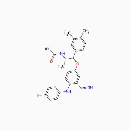 Cc1ccc([C@@H](Oc2ccc(Nc3ccc(F)cc3)c(C=N)c2)[C@H](C)NC(=O)C(C)(C)C)cc1C